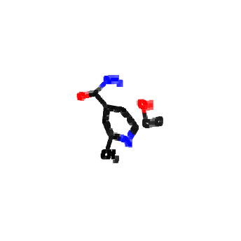 Cc1cc(C(N)=O)ccn1.O=CO